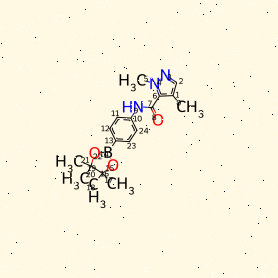 Cc1cnn(C)c1C(=O)Nc1ccc(B2OC(C)(C)C(C)(C)O2)cc1